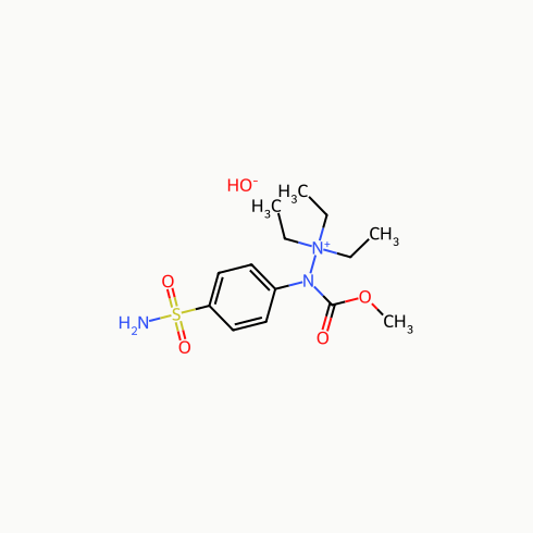 CC[N+](CC)(CC)N(C(=O)OC)c1ccc(S(N)(=O)=O)cc1.[OH-]